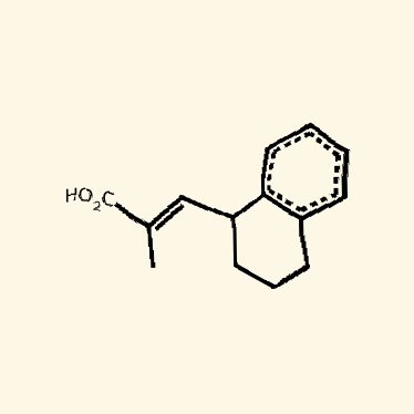 CC(=CC1CCCc2ccccc21)C(=O)O